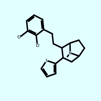 CN1C2CCC1C(CCc1cccc(Cl)c1Cl)C(c1cccs1)C2